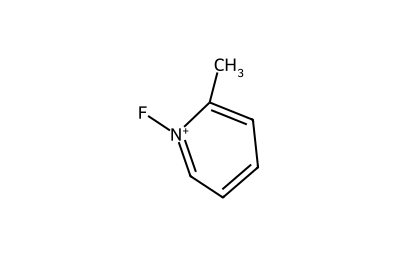 Cc1cccc[n+]1F